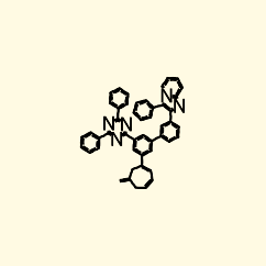 C=C1CC=CC=C(c2cc(-c3cccc(-c4nc5ccccn5c4-c4ccccc4)c3)cc(-c3nc(-c4ccccc4)nc(-c4ccccc4)n3)c2)C1